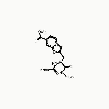 CCCCCCCCCC(=O)N[C@@H](Cc1cn2ccc(C(=O)OC)cc2n1)C(=O)NCCCCCC